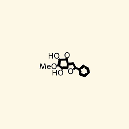 COC1=C(O)C(=O)C2=CC(c3ccccc3)OC2=C1O